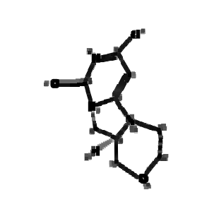 O=c1nc(Cl)cc2n1C[C@@H]1COCCN21